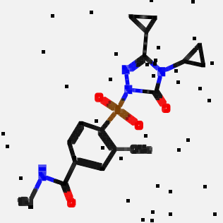 COc1cc(C(=O)NC(C)(C)C)ccc1S(=O)(=O)n1nc(C2CC2)n(C2CC2)c1=O